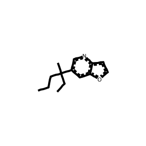 CCCC(C)(CC)c1cnc2ccoc2c1